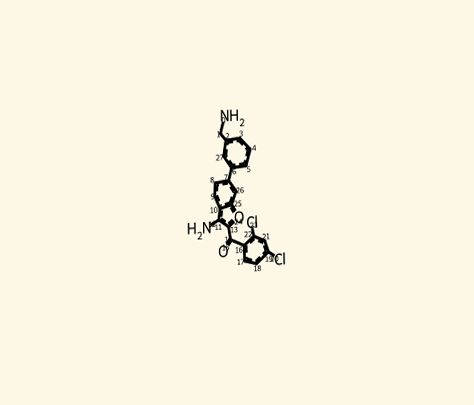 NCc1cccc(-c2ccc3c(N)c(C(=O)c4ccc(Cl)cc4Cl)oc3c2)c1